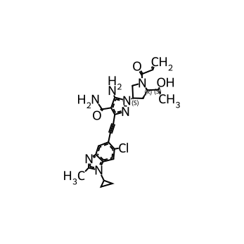 C=CC(=O)N1C[C@@H](n2nc(C#Cc3cc4nc(C)n(C5CC5)c4cc3Cl)c(C(N)=O)c2N)C[C@@H]1[C@H](C)O